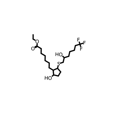 CCOC(=O)CCCCCCC1C(O)CCC1SCC(O)CCCCC(F)(F)F